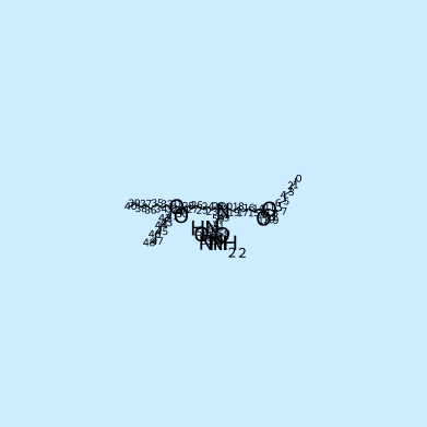 CCCCCCCCC(CC)OC(=O)CCCCCCCN(CCCCCCCC(=O)OC(CCCCCCCC)CCCCCCCC)CCCNC(C(N)=O)C(N)=O